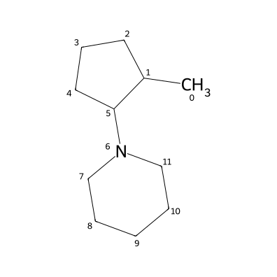 CC1CCCC1N1CCCCC1